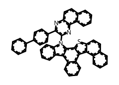 c1ccc(-c2ccc(-c3nc4ccc5ccccc5c4nc3-n3c4ccccc4c4c5ccccc5c5c(sc6ccc7ccccc7c65)c43)cc2)cc1